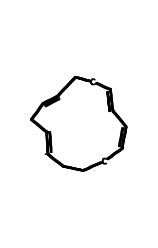 [C]1=C/C/C=C/CC/C=C/C=C\CCC/1